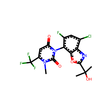 Cn1c(C(F)(F)F)cc(=O)n(-c2c(F)cc(Cl)c3nc(C(C)(C)O)oc23)c1=O